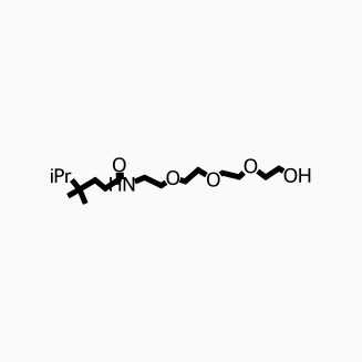 CC(C)C(C)(C)CCC(=O)NCCOCCOCCOCCO